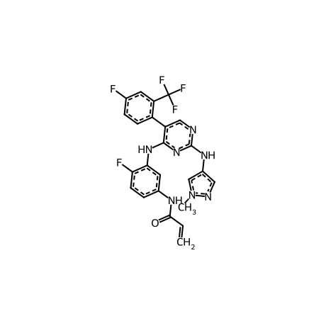 C=CC(=O)Nc1ccc(F)c(Nc2nc(Nc3cnn(C)c3)ncc2-c2ccc(F)cc2C(F)(F)F)c1